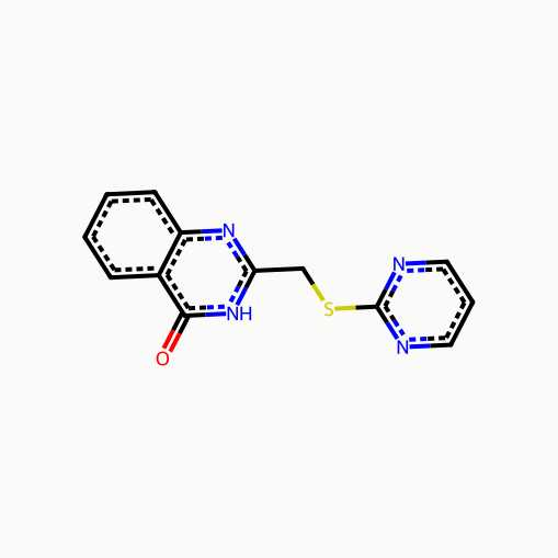 O=c1[nH]c(CSc2ncccn2)nc2ccccc12